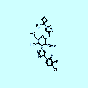 CO[C@@H]1[C@@H](n2cc(-c3ccc(Cl)c(F)c3F)nn2)[C@@H](O)[C@@H](CO)O[C@@H]1Cc1cn(C2(C(F)(F)F)CCC2)nn1